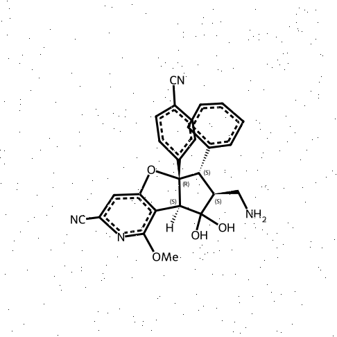 COc1nc(C#N)cc2c1[C@@H]1C(O)(O)[C@H](CN)[C@@H](c3ccccc3)[C@@]1(c1ccc(C#N)cc1)O2